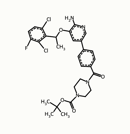 CC(Oc1cc(-c2ccc(C(=O)N3CCN(C(=O)OC(C)(C)C)CC3)cc2)cnc1N)c1c(Cl)ccc(F)c1Cl